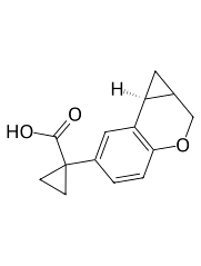 O=C(O)C1(c2ccc3c(c2)[C@H]2CC2CO3)CC1